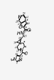 Cn1cnc(C(=O)N2CCC3(CC2)CC3CNC(=O)c2cc3ccncc3o2)c1